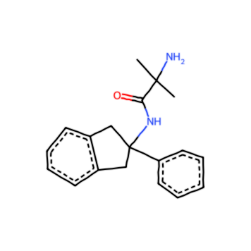 CC(C)(N)C(=O)NC1(c2ccccc2)Cc2ccccc2C1